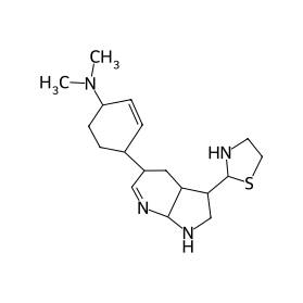 CN(C)C1C=CC(C2C=NC3NCC(C4NCCS4)C3C2)CC1